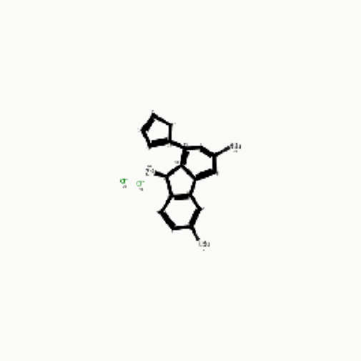 CC(C)(C)c1ccc2c(c1)-c1cc(C(C)(C)C)cc(C3=CC=CC3)c1[CH]2[Zr+2].[Cl-].[Cl-]